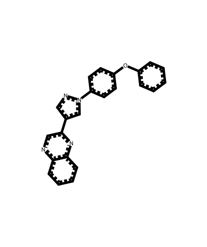 c1ccc(Oc2ccc(-n3cc(-c4cnc5ccccc5n4)cn3)cc2)cc1